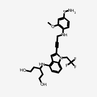 COc1cc(SN)ccc1NCC#Cc1cc2c(NC(CCO)CCO)cccc2n1CC(F)(F)F